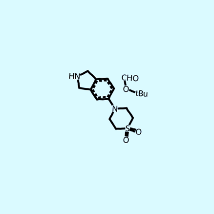 CC(C)(C)OC=O.O=S1(=O)CCN(c2ccc3c(c2)CNC3)CC1